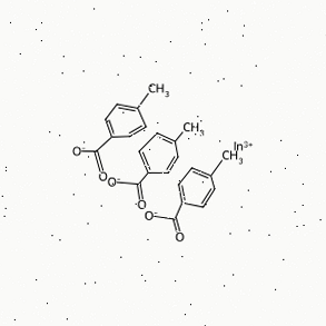 Cc1ccc(C(=O)[O-])cc1.Cc1ccc(C(=O)[O-])cc1.Cc1ccc(C(=O)[O-])cc1.[In+3]